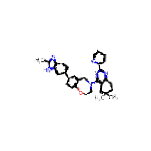 Cc1nc2ccc(-c3ccc4c(c3)CN(c3nc(-c5ccccn5)nc5c3CC(C)(C)CC5)CCO4)cc2[nH]1